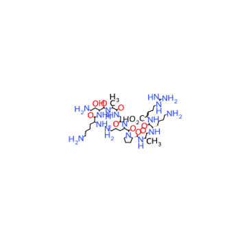 C[C@H](NC(=O)[C@@H](NC(=O)[C@@H](N)CCCCN)[C@@H](O)CN)C(=O)NCC(=O)/N=C(\CCCN)C(=O)N1CCC[C@H]1C(=O)N[C@@H](C)C(=O)N[C@@H](CCCCN)C(=O)N/C(=C\CCNC(=N)N)C(=O)O